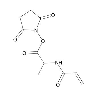 C=CC(=O)NC(C)C(=O)ON1C(=O)CCC1=O